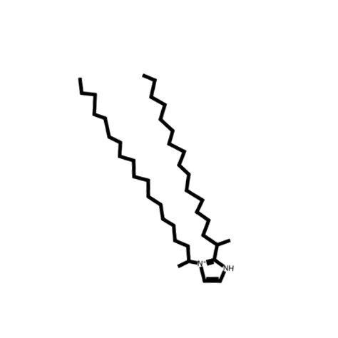 CCCCCCCCCCCCCCCCCC(C)[n+]1cc[nH]c1C(C)CCCCCCCCCCCCCCC